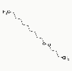 CCCCCCCCCCOOCCCC